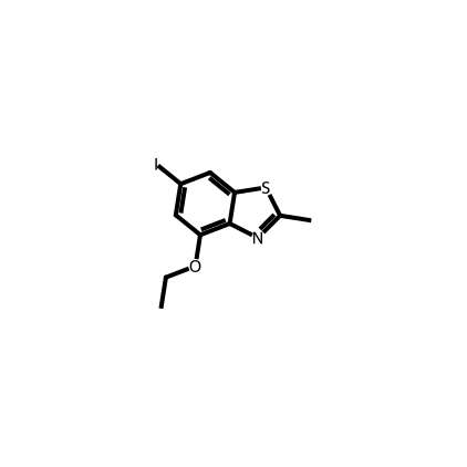 CCOc1cc(I)cc2sc(C)nc12